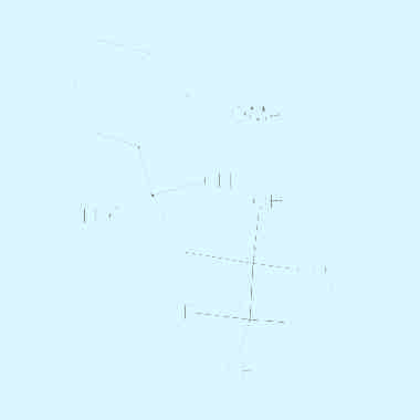 CCOC(=O)C(O)(CC(C)(C)c1ccccc1OC)C(F)(F)C(F)(F)F